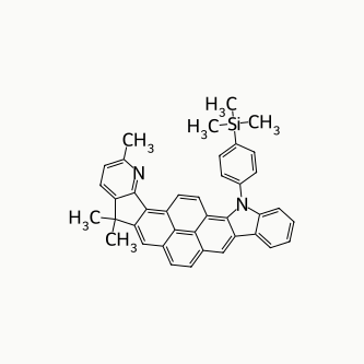 Cc1ccc2c(n1)-c1c(cc3ccc4cc5c6ccccc6n(-c6ccc([Si](C)(C)C)cc6)c5c5ccc1c3c45)C2(C)C